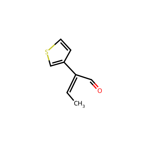 CC=C(C=O)c1ccsc1